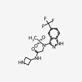 CS(=O)(=O)N(CC(=O)NC1CNC1)c1n[nH]c2ccc(C(F)(F)F)cc12